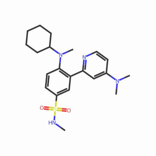 CNS(=O)(=O)c1ccc(N(C)C2CCCCC2)c(-c2cc(N(C)C)ccn2)c1